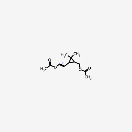 CC(=O)O/C=C/C1C(COC(C)=O)C1(C)C